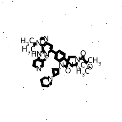 COC(C)(C)C(=O)N1CCC2(CC1)C(=O)N([C@H]1C[C@@H](N3CCCCC3)C1)c1cc(-c3cc4ncn(C(C)C)c4c(Nc4ccncc4F)n3)ccc12